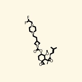 CO[C@H]1C([C@@]2(C)O[C@@H]2CC=C(C)C)[C@]2(CC[C@H]1OC(=O)N1CC(CCN3CCN(CC(F)F)CC3)C1)CO2